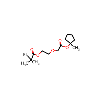 CCC(C)(C)C(=O)OCCOCC(=O)OC1(C)CCCC1